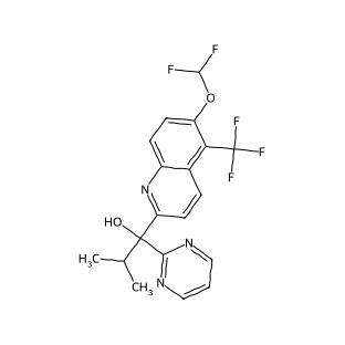 CC(C)C(O)(c1ccc2c(C(F)(F)F)c(OC(F)F)ccc2n1)c1ncccn1